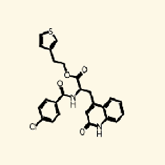 O=C(NC(Cc1cc(=O)[nH]c2ccccc12)C(=O)OCCc1ccsc1)c1ccc(Cl)cc1